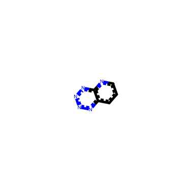 [c]1ccc2nnnnc2n1